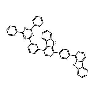 c1ccc(-c2nc(-c3ccccc3)nc(-c3cccc(-c4ccc(-c5ccc(-c6cccc7c6sc6ccccc67)cc5)c5oc6ccccc6c45)c3)n2)cc1